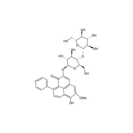 COc1cc2c3c(c(-c4ccccc4)ccc3c1O)C(=O)C(O[C@@H]1O[C@H](CO)[C@@H](O[C@@H]3O[C@H](CO)[C@@H](O)[C@H](O)[C@H]3O)[C@H](O)[C@H]1O)=C2